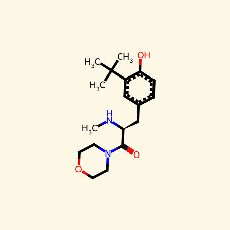 CN[C@@H](Cc1ccc(O)c(C(C)(C)C)c1)C(=O)N1CCOCC1